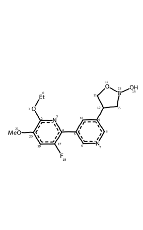 CCOc1nc(-c2cncc(C3COB(O)C3)c2)c(F)cc1OC